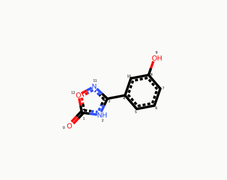 O=c1[nH]c(-c2cccc(O)c2)no1